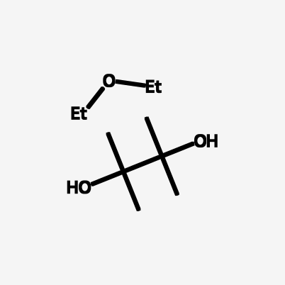 CC(C)(O)C(C)(C)O.CCOCC